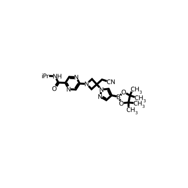 CC(C)NC(=O)c1cnc(N2CC(CC#N)(n3cc(B4OC(C)(C)C(C)(C)O4)cn3)C2)cn1